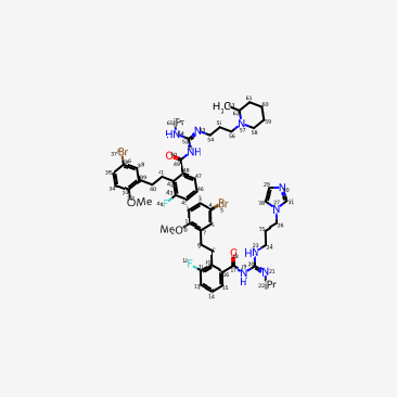 COc1ccc(Br)cc1CCc1c(F)cccc1C(=O)N/C(=N\C(C)C)NCCCn1ccnc1.COc1ccc(Br)cc1CCc1c(F)cccc1C(=O)N/C(=N\CCCN1CCCCC1C)NC(C)C